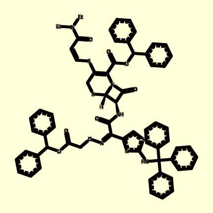 CCN(CC)C(=O)/C=C\SC1=C(C(=O)OC(c2ccccc2)c2ccccc2)N2C(=O)[C@@H](NC(=O)/C(=N\OCC(=O)OC(c3ccccc3)c3ccccc3)c3csc(NC(c4ccccc4)(c4ccccc4)c4ccccc4)n3)[C@@H]2SC1